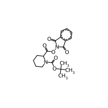 CC(C)(C)OC(=O)N1CCCCC1C(=O)ON1C(=O)c2ccccc2C1=O